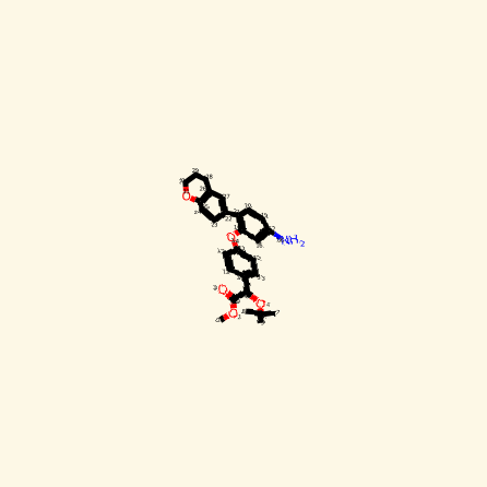 COC(=O)C(OC(C)(C)C)c1ccc(Oc2cc(N)ccc2-c2ccc3c(c2)CCCO3)cc1